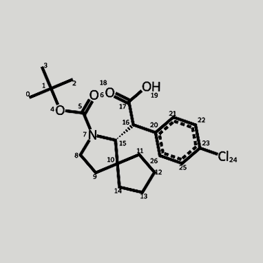 CC(C)(C)OC(=O)N1CCC2(CCCC2)[C@H]1C(C(=O)O)c1ccc(Cl)cc1